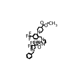 CCOC(=O)C1CCN(c2cc(C(F)(F)F)ccc2Cn2ccnc2NC(=O)C(C)(CN(F)Cc2ccccc2)C(F)(F)F)CC1